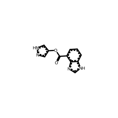 O=C(Oc1cn[nH]c1)c1cccc2[nH]cnc12